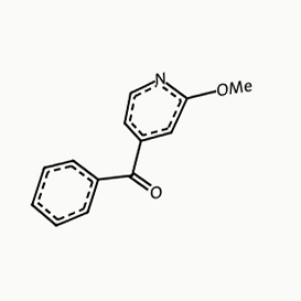 COc1cc(C(=O)c2ccccc2)ccn1